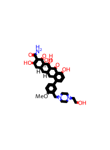 COc1ccc(-c2ccc(O)c3c2C[C@H]2C[C@H]4CC(O)=C(C(N)=O)C(=O)[C@@]4(O)C(O)=C2C3=O)cc1CN1CCN(CCO)CC1